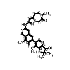 Cc1c(-c2cc3cc(Nc4cc5n(n4)CC(=O)N(C)CC5)ncc3c(N)c2F)cnc2c1NC(C)(C)C2O